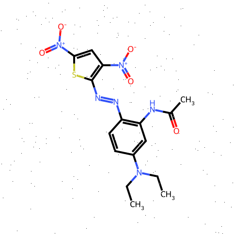 CCN(CC)c1ccc(N=Nc2sc([N+](=O)[O-])cc2[N+](=O)[O-])c(NC(C)=O)c1